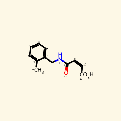 Cc1ccccc1CNC(=O)/C=C\C(=O)O